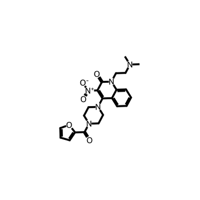 CN(C)CCn1c(=O)c([N+](=O)[O-])c(N2CCN(C(=O)c3ccco3)CC2)c2ccccc21